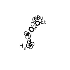 CCCCOc1cc(CC)ccc1Oc1ccc(N2CC(COS(C)(=O)=O)OC2=O)cc1F